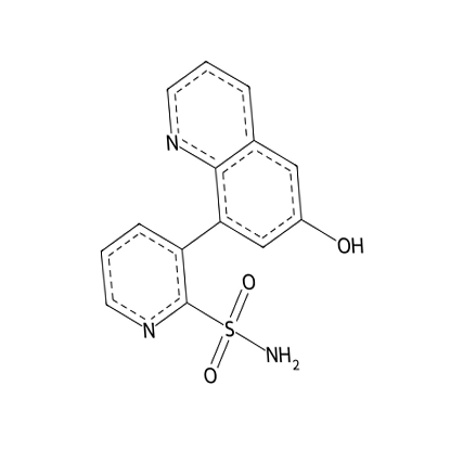 NS(=O)(=O)c1ncccc1-c1cc(O)cc2cccnc12